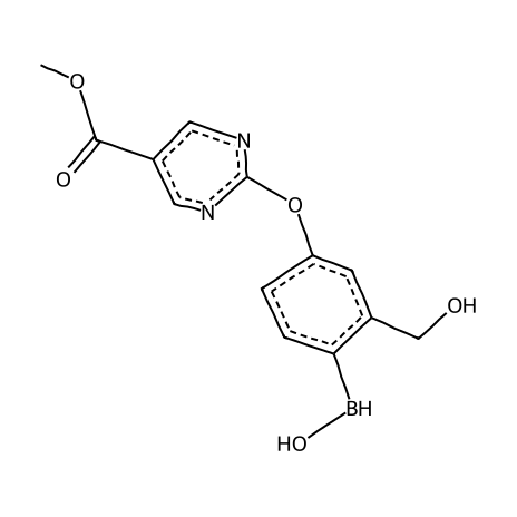 COC(=O)c1cnc(Oc2ccc(BO)c(CO)c2)nc1